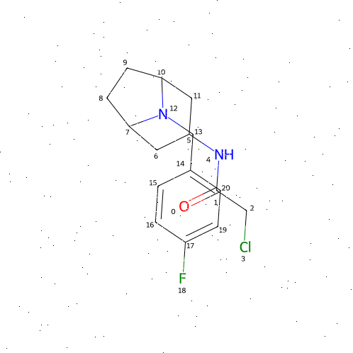 O=C(CCl)NC1CC2CCC(C1)N2Cc1ccc(F)cc1